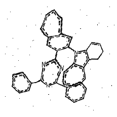 C1=Cc2c(c3ccccc3n2-c2cc3ccccc3cc2-c2nc(-c3ccccc3)nc(-c3ccccc3)n2)CC1